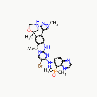 COc1cc([C@@]2(C)CNCCO2)c(-c2cnn(C)c2)cc1Nc1ncc(Br)c(Nc2ccc3nccnc3c2P(C)(C)=O)n1